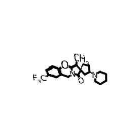 CC1C2Oc3ccc(C(F)(F)F)cc3CN2C(=O)[C@]12CC[C@@H](N1CCCCC1)C2